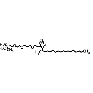 CCCCCCCCCCCCCCCCC(C)OC(C)CCOCCCOCCOCC[N+](C)(C)C.[Cl-]